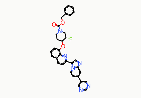 O=C(OCc1ccccc1)N1CC[C@H](Oc2cccc3ccc(-c4cnc5cc(-c6cncnc6)ccn45)nc23)[C@@H](F)C1